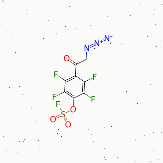 [N-]=[N+]=NCC(=O)c1c(F)c(F)c(OS(=O)(=O)F)c(F)c1F